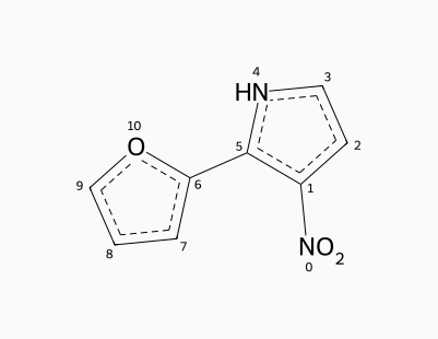 O=[N+]([O-])c1cc[nH]c1-c1ccco1